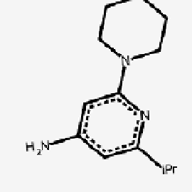 CC(C)c1cc(N)cc(N2CCCCC2)n1